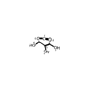 O=C=O.OCC(O)CO